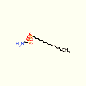 CCCCCCCCCCCCCCCS(=O)(=O)OS(=O)(=O)CCN